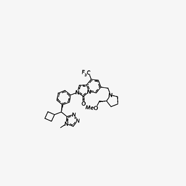 COC[C@@H]1CCCN1Cc1cc(C(F)(F)F)c2cn(-c3cccc([C@@H](c4nncn4C)C4CCC4)c3)c(=O)n2c1